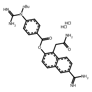 CCCCN(C(=N)N)c1ccc(C(=O)Oc2ccc3cc(C(=N)N)ccc3c2CC(N)=O)cc1.Cl.Cl